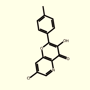 Cc1ccc(-c2oc3cc(Cl)cnc3c(=O)c2O)cc1